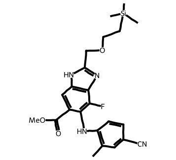 COC(=O)c1cc2[nH]c(COCC[Si](C)(C)C)nc2c(F)c1Nc1ccc(C#N)cc1C